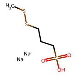 CSSCCCS(=O)(=O)O.[Na].[Na]